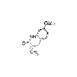 COc1ccc(C[C@H](C)C(=O)S)cc1